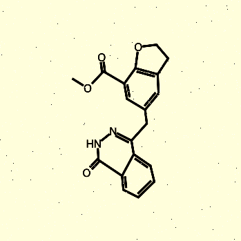 COC(=O)c1cc(Cc2n[nH]c(=O)c3ccccc23)cc2c1OCC2